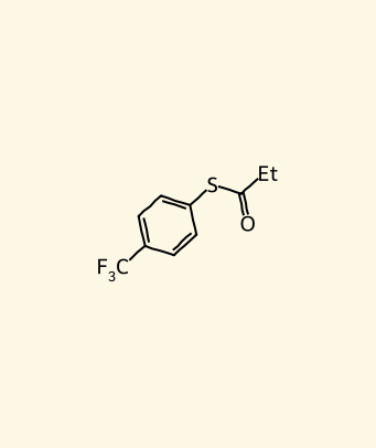 CCC(=O)Sc1ccc(C(F)(F)F)cc1